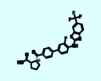 O=C(O)C1CCC[C@H]1C(=O)c1ccc(-c2ccc(Nc3nc4ccc(C(F)(F)F)cc4s3)c(F)c2)cc1